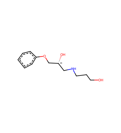 OCCCNC[C@@H](O)COc1ccccc1